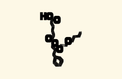 CCCCOCCOC(COC(=O)CCCCC(=O)O)Cc1ccccc1